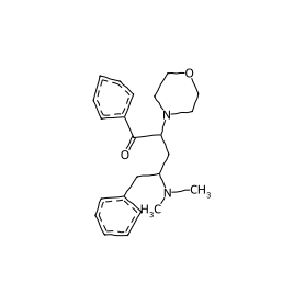 CN(C)C(Cc1ccccc1)CC(C(=O)c1ccccc1)N1CCOCC1